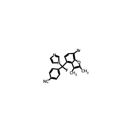 Cc1oc2c(Br)ccc(C(F)(c3ccc(C#N)cc3)n3ccnc3)c2c1C